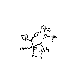 CC(C)(C)OC=O.CCC[C@]1(C(=O)Cl)CCNC1